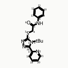 CC(C)(C)n1c(SCC(=O)Nc2ccccc2)nnc1-c1ccccn1